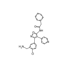 NCc1cc(-c2noc(NC(=O)Cc3ccccc3)c2-c2ccncc2)ccc1Cl